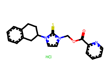 Cl.O=C(OCn1ccn(C2CCc3ccccc3C2)c1=S)c1ccccn1